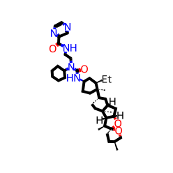 CC[C@@H]1C[C@H](NC(=O)N(CCNC(=O)c2cnccn2)C2CCCCC2)CC[C@]1(C)[C@H]1CC[C@@]2(C)[C@H](C1)C[C@@H]1O[C@]3(CC[C@H](C)CO3)[C@@H](C)[C@@H]12